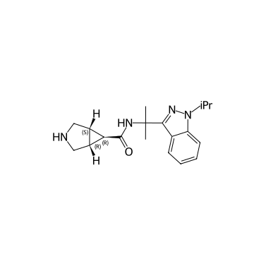 CC(C)n1nc(C(C)(C)NC(=O)[C@H]2[C@@H]3CNC[C@@H]32)c2ccccc21